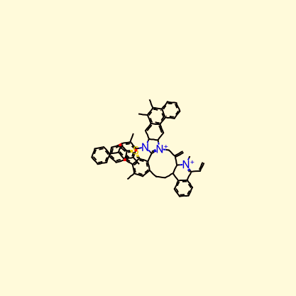 C=CC1=[N+](C)C2C(=C)C[N+]3=C(c4c(cc(C)c5c4sc4ccccc45)CCC2c2ccccc21)N(c1c(C)cc(-c2ccccc2)cc1C)C1C=c2c(C)c(C)c4ccccc4c2=CC13